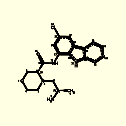 C[C@@H](N)CN1CCOC[C@H]1C(=O)Nc1cc(Cl)cc2c1[nH]c1cnccc12